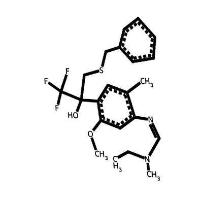 CCN(C)/C=N\c1cc(OC)c(C(O)(CSCc2ccccc2)C(F)(F)F)cc1C